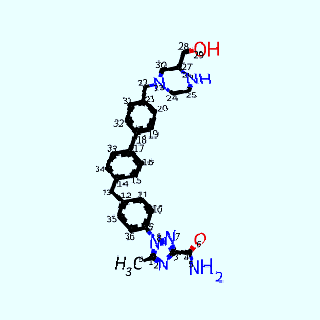 Cc1nc(C(N)=O)nn1-c1ccc(Cc2ccc(-c3ccc(CN4CCNC(CO)C4)cc3)cc2)cc1